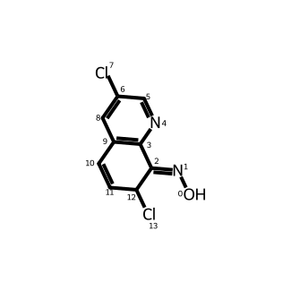 ON=C1c2ncc(Cl)cc2C=CC1Cl